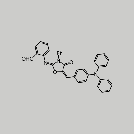 CCN1C(=O)/C(=C\c2ccc(N(c3ccccc3)c3ccccc3)cc2)O/C1=N/c1ccccc1C=O